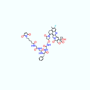 CC[C@@]1(O)C(=O)OCc2c1cc1n(c2=O)Cc2c-1nc1cc(F)c(C)c3c1c2[C@@H](N1CC(OCNC(=O)CNC(=O)[C@H](Cc2ccccc2)NC(=O)CNC(=O)CNC(=O)CCCCCN2C(=O)C=CC2=O)CC1=O)CC3